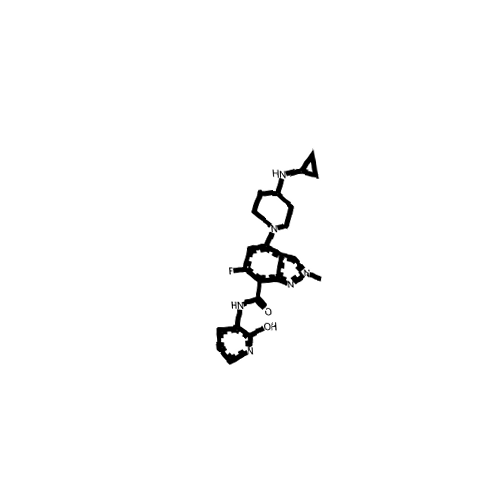 Cn1cc2c(N3CCC(NC4CC4)CC3)cc(F)c(C(=O)Nc3cccnc3O)c2n1